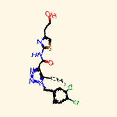 Cc1c(C(=O)Nc2nc(CCO)cs2)nnn1Cc1ccc(Cl)c(Cl)c1